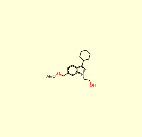 COOCc1ccc2c(C3CCCCC3)cn(CCO)c2c1